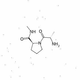 CNC(=O)[C@@H]1CCCN1C(=O)[C@H](C)N